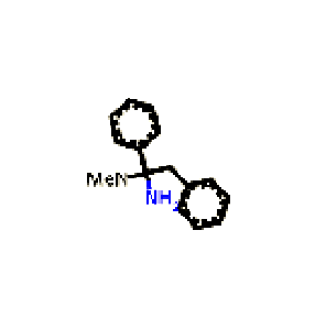 CNC(N)(Cc1ccccc1)c1ccccc1